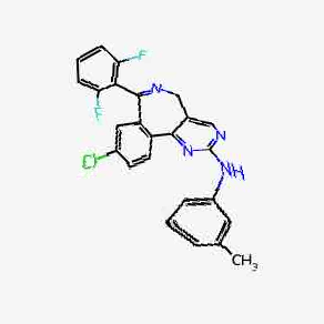 Cc1cccc(Nc2ncc3c(n2)-c2ccc(Cl)cc2C(c2c(F)cccc2F)=NC3)c1